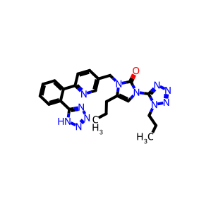 CCCc1cn(-c2nnnn2CCC)c(=O)n1Cc1ccc(-c2ccccc2-c2nnn[nH]2)nc1